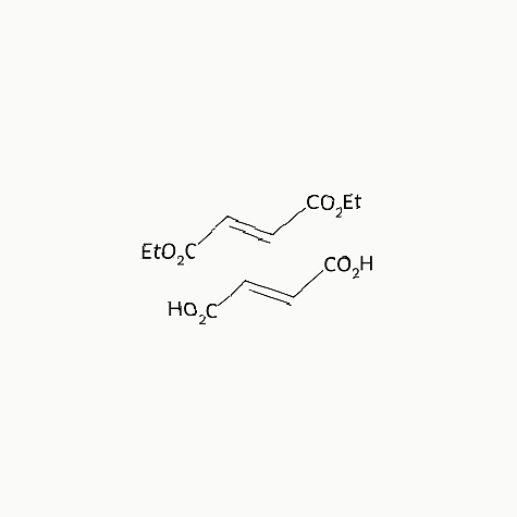 CCOC(=O)C=CC(=O)OCC.O=C(O)C=CC(=O)O